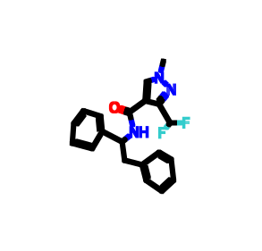 Cn1cc(C(=O)NC(Cc2ccccc2)c2ccccc2)c(C(F)F)n1